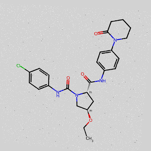 CCO[C@@H]1C[C@@H](C(=O)Nc2ccc(N3CCCCC3=O)cc2)N(C(=O)Nc2ccc(Cl)cc2)C1